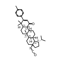 Cc1ccc(C2=CC(=O)[C@]3(C)[C@H]4CC[C@@H]5[C@H]6[C@H](C(C)C)CC[C@]6(N=C=O)CC[C@@]5(C)[C@]4(C)CC[C@H]3C2(C)C)cc1